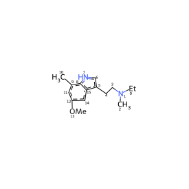 CCN(C)CCc1c[nH]c2c(C)cc(OC)cc12